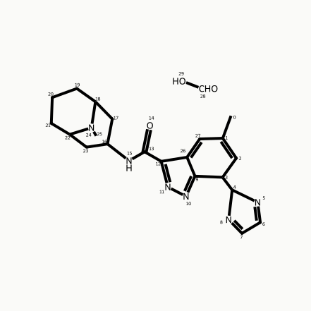 CC1=CC(C2N=CC=N2)C2=NN=C(C(=O)NC3CC4CCCC(C3)N4C)C2=C1.O=CO